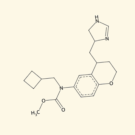 COC(=O)N(CC1CCC1)c1ccc2c(c1)C(CC1CNC=N1)CCO2